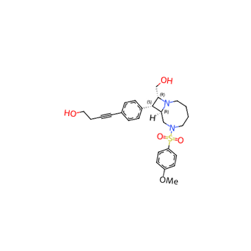 COc1ccc(S(=O)(=O)N2CCCCN3[C@@H](CO)[C@@H](c4ccc(C#CCCO)cc4)[C@@H]3C2)cc1